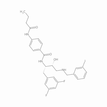 CCCC(=O)Nc1ccc(C(=O)N[C@@H](Cc2cc(F)cc(F)c2)[C@H](O)CNCc2cccc(I)c2)cc1